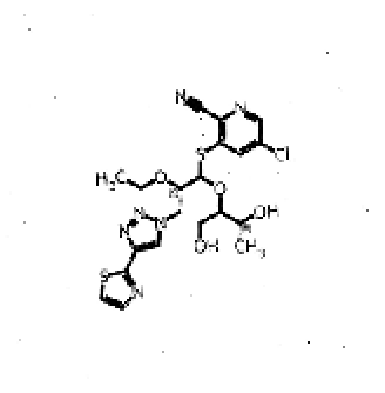 CCO[C@@H](Cn1cc(-c2nccs2)nn1)C(OC(CO)[C@@H](C)O)Sc1cc(Cl)cnc1C#N